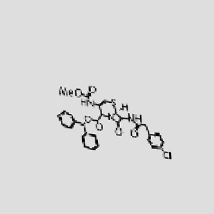 COC(=O)NC1=CS[C@H]2C(NC(=O)Cc3ccc(Cl)cc3)C(=O)N2C1C(=O)OC(c1ccccc1)c1ccccc1